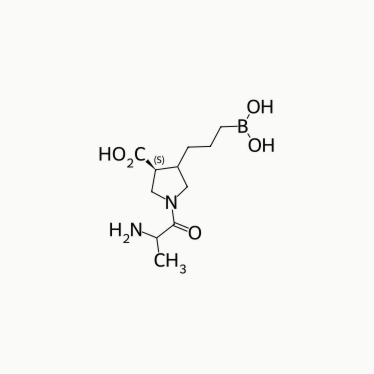 CC(N)C(=O)N1CC(CCCB(O)O)[C@H](C(=O)O)C1